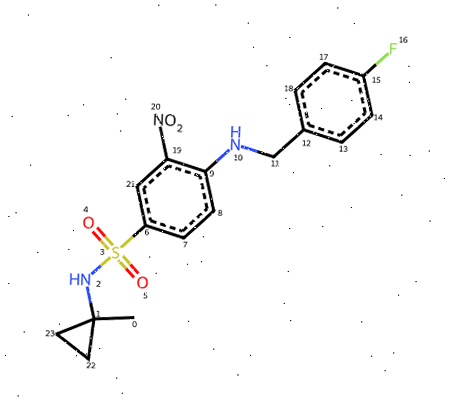 CC1(NS(=O)(=O)c2ccc(NCc3ccc(F)cc3)c([N+](=O)[O-])c2)CC1